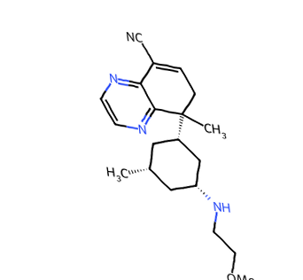 COCCN[C@@H]1C[C@H](C)C[C@H](C2(C)CC=C(C#N)c3nccnc32)C1